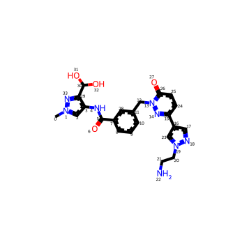 Cn1cc(NC(=O)c2cccc(Cn3nc(-c4cnn(CCN)c4)ccc3=O)c2)c(C(O)O)n1